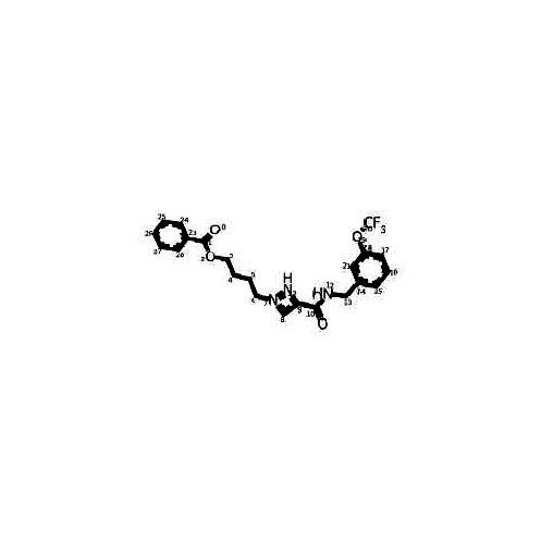 O=C(OCCCCn1cc(C(=O)NCc2cccc(OC(F)(F)F)c2)[nH]1)c1ccccc1